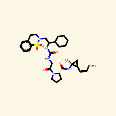 CCCCC/C=C\C1C[C@]1(NC(=O)[C@@H]1CCCN1C(=O)CNC(=O)NC(CN1CCc2ccccc2S1(=O)=O)C1CCCCC1)C(=O)O